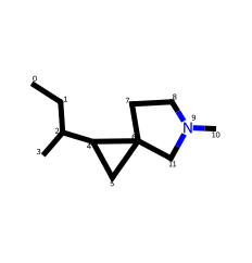 CCC(C)C1CC12CCN(C)C2